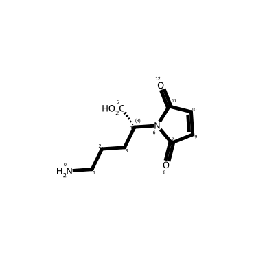 NCCC[C@H](C(=O)O)N1C(=O)C=CC1=O